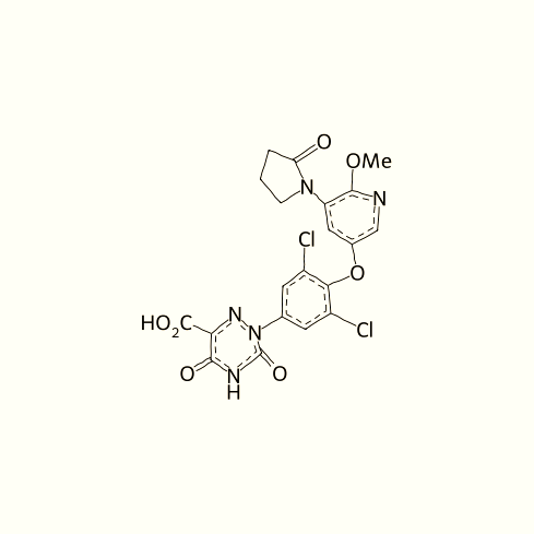 COc1ncc(Oc2c(Cl)cc(-n3nc(C(=O)O)c(=O)[nH]c3=O)cc2Cl)cc1N1CCCC1=O